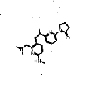 CNc1ccc(CC(C)c2cccc(N3CCCC3=O)n2)c(CN(C)C)n1